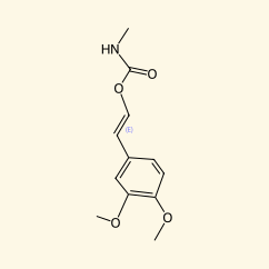 CNC(=O)O/C=C/c1ccc(OC)c(OC)c1